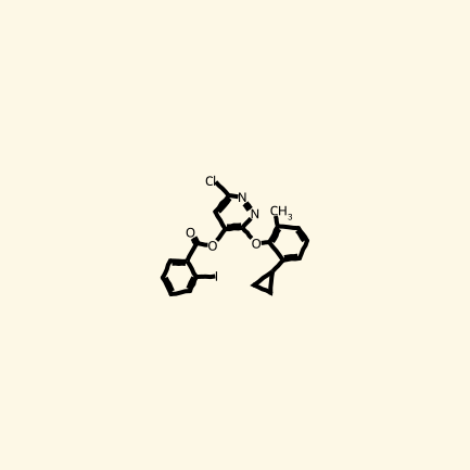 Cc1cccc(C2CC2)c1Oc1nnc(Cl)cc1OC(=O)c1ccccc1I